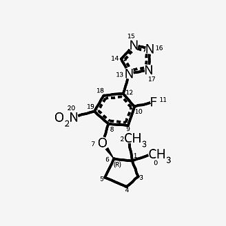 CC1(C)CCC[C@H]1Oc1cc(F)c(-n2cnnn2)cc1[N+](=O)[O-]